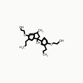 CCCc1cc(C(C)(CC(C)C)c2ccc(OCCO)c(CCC)c2)ccc1OCCO